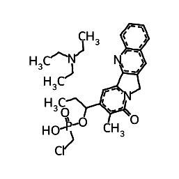 CCC(OP(=O)(O)CCl)c1cc2n(c(=O)c1C)Cc1cc3ccccc3nc1-2.CCN(CC)CC